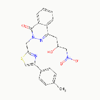 Cc1ccc(-c2csc(Cn3nc(CC(O)C[N+](=O)[O-])c4ccccc4c3=O)n2)cc1